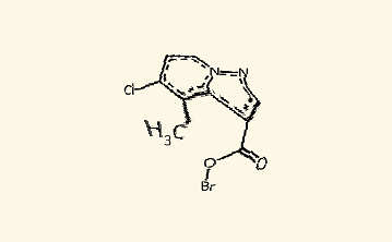 Cc1c(Cl)ccn2ncc(C(=O)OBr)c12